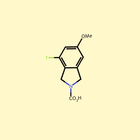 COc1cc(F)c2c(c1)CN(C(=O)O)C2